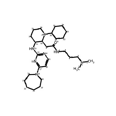 CN(C)CCCNC(=O)CC1C(Nc2nccc(N3CCCCCC3)n2)CCCN1C1CCCCC1